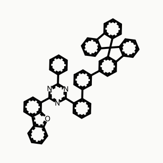 c1ccc(-c2nc(-c3ccccc3-c3cccc(-c4ccc5c(c4)C4(c6ccccc6-c6ccccc64)c4ccccc4-5)c3)nc(-c3cccc4c3oc3ccccc34)n2)cc1